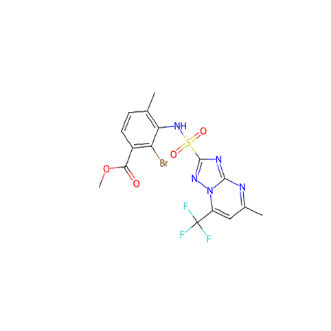 COC(=O)c1ccc(C)c(NS(=O)(=O)c2nc3nc(C)cc(C(F)(F)F)n3n2)c1Br